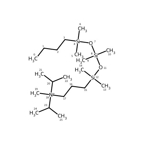 CCCC[Si](C)(C)O[Si](C)(C)O[Si](C)(C)CCC[N+](C)(C(C)C)C(C)C